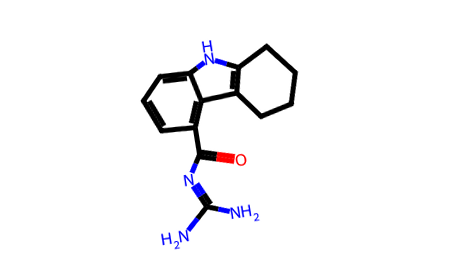 NC(N)=NC(=O)c1cccc2[nH]c3c(c12)CCCC3